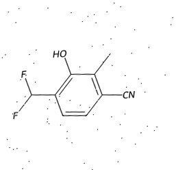 Cc1c(C#N)ccc(C(F)F)c1O